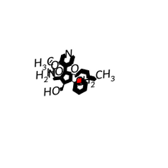 C=C(/C=C\C(Br)=C/C)[C@@]12Oc3cncc(OC)c3[C@]1(O)C(CN)[C@H](CO)[C@H]2c1ccccc1